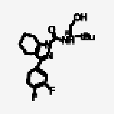 CC(C)(C)[C@@H](CO)NC(=O)n1nc(-c2ccc(F)c(F)c2)c2c1CCCC2